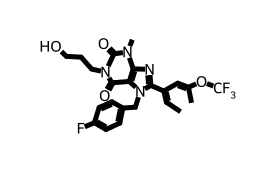 C/C=C(\C=C(/C)OC(F)(F)F)c1nc2c(c(=O)n(CCCO)c(=O)n2C)n1Cc1ccc(F)cc1